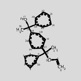 C=COC(C)(c1ccccc1)c1ccc(C(C)(O)c2ccccc2)cc1